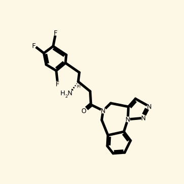 N[C@@H](CC(=O)N1Cc2ccccc2-n2nncc2C1)Cc1cc(F)c(F)cc1F